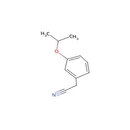 CC(C)Oc1cccc(CC#N)c1